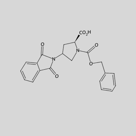 O=C(O)[C@@H]1CC(N2C(=O)c3ccccc3C2=O)CN1C(=O)OCc1ccccc1